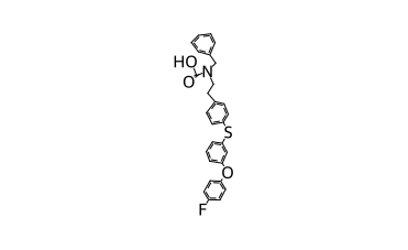 O=C(O)N(CCc1ccc(Sc2cccc(Oc3ccc(F)cc3)c2)cc1)Cc1ccccc1